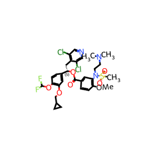 COc1ccc(C(=O)O[C@@H](Cc2c(Cl)cncc2Cl)c2ccc(OC(F)F)c(OCC3CC3)c2)cc1N(CCN(C)C)S(C)(=O)=O